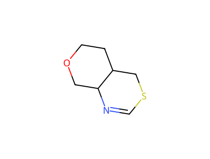 C1=NC2COCCC2CS1